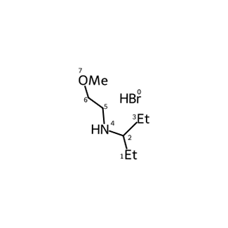 Br.CCC(CC)NCCOC